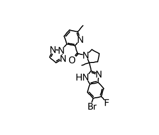 Cc1ccc(-n2nccn2)c(C(=O)N2CCCC2(C)c2nc3cc(F)c(Br)cc3[nH]2)n1